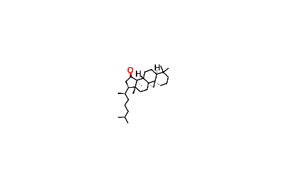 CC(C)CCC[C@@H](C)[C@H]1CC(=O)[C@@]2(C)[C@@H]3CC[C@H]4C(C)(C)CCC[C@@]45C[C@]35CC[C@]12C